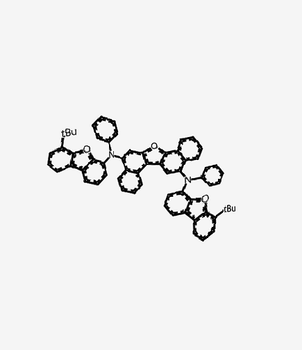 CC(C)(C)c1cccc2c1oc1c(N(c3ccccc3)c3cc4c(oc5cc(N(c6ccccc6)c6cccc7c6oc6c(C(C)(C)C)cccc67)c6ccccc6c54)c4ccccc34)cccc12